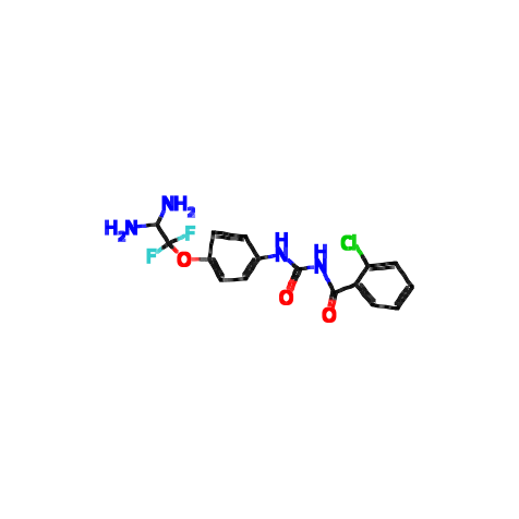 NC(N)C(F)(F)Oc1ccc(NC(=O)NC(=O)c2ccccc2Cl)cc1